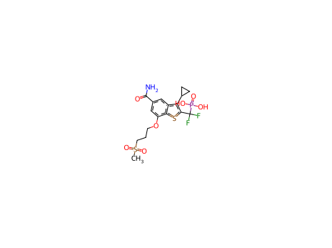 CS(=O)(=O)CCCOc1cc(C(N)=O)cc2c(C3CC3)c(C(F)(F)P(=O)(O)O)sc12